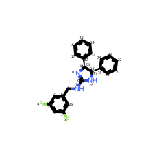 Fc1cc(F)cc(CNC2=N[C@@H](c3ccccc3)[C@@H](c3ccccc3)N2)c1